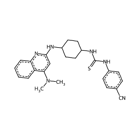 CN(C)c1cc(NC2CCC(NC(=S)Nc3ccc(C#N)cc3)CC2)nc2ccccc12